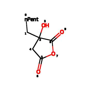 CCCCCCC1(O)CC(=O)OC1=O